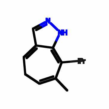 CC1=CCC=c2cn[nH]c2=C1C(C)C